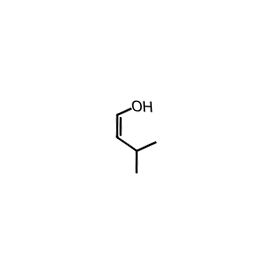 CC(C)/C=C\O